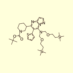 CC(C)(C)OC(=O)N1CCCC(c2nc3ccnn3c(N(COCC[Si](C)(C)C)COCC[Si](C)(C)C)c2-c2cccs2)C1